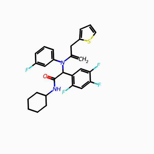 C=C(Cc1cccs1)N(c1cccc(F)c1)C(C(=O)NC1CCCCC1)c1cc(F)c(F)cc1F